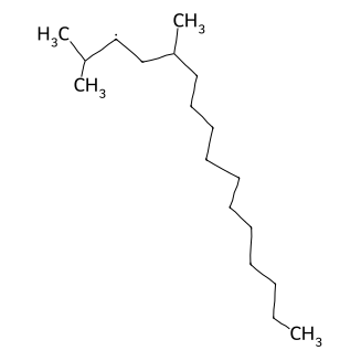 CCCCCCCCCCCC(C)C[CH]C(C)C